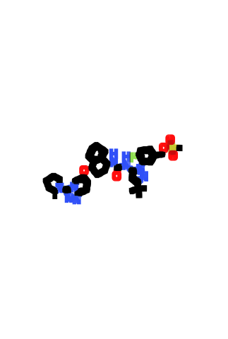 C[C@H]1CCCCN1c1nnc2ccc(O[C@@H]3CC[C@H](NC(=O)Nc4cc(C(C)(C)C)nn4-c4cc(COS(C)(=O)=O)ccc4F)c4ccccc43)cn12